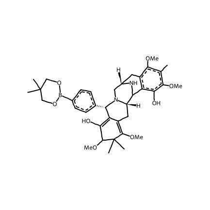 COC1=C2C[C@H]3C4N[C@@H](Cc5c(OC)c(C)c(OC)c(O)c54)CN3[C@@H](c3ccc(B4OCC(C)(C)CO4)cc3)C2=C(O)C(OC)C1(C)C